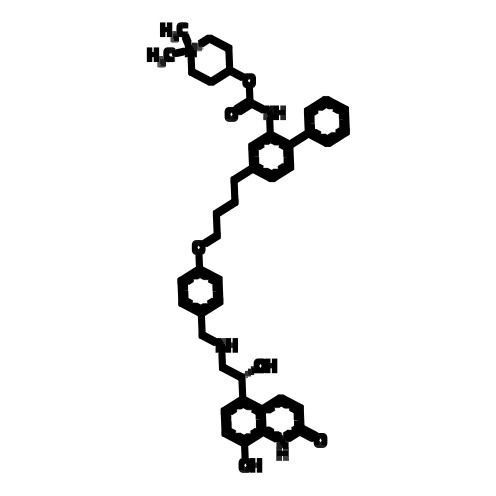 C[N+]1(C)CCC(OC(=O)Nc2cc(CCCCOc3ccc(CNC[C@H](O)c4ccc(O)c5[nH]c(=O)ccc45)cc3)ccc2-c2ccccc2)CC1